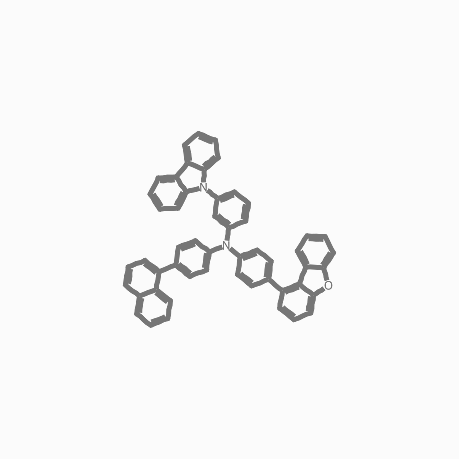 c1cc(N(c2ccc(-c3cccc4ccccc34)cc2)c2ccc(-c3cccc4oc5ccccc5c34)cc2)cc(-n2c3ccccc3c3ccccc32)c1